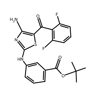 CC(C)(C)OC(=O)c1cccc(Nc2nc(N)c(C(=O)c3c(F)cccc3F)s2)c1